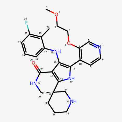 COCCOc1cnccc1-c1[nH]c2c(c1Nc1cccc(F)c1C)C(=O)NC[C@]21CCCNC1